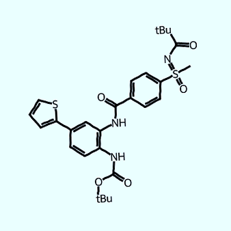 CC(C)(C)OC(=O)Nc1ccc(-c2cccs2)cc1NC(=O)c1ccc(S(C)(=O)=NC(=O)C(C)(C)C)cc1